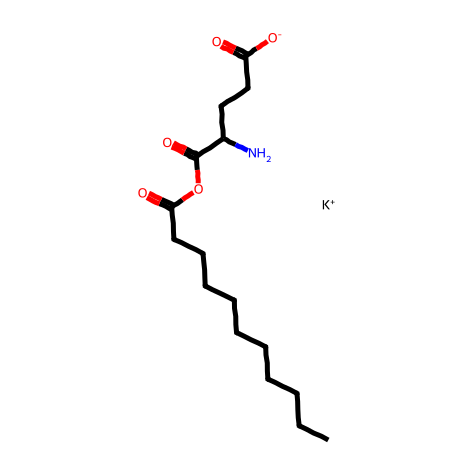 CCCCCCCCCCC(=O)OC(=O)C(N)CCC(=O)[O-].[K+]